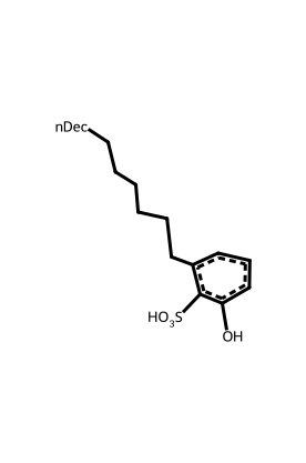 CCCCCCCCCCCCCCCCc1cccc(O)c1S(=O)(=O)O